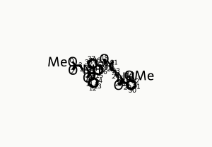 COC(=O)CCNC(=O)C1(c2ccccc2)CC[C@@H](C(=O)N(C)CCCNC(=O)c2ccccc2OC)c2ccccc21